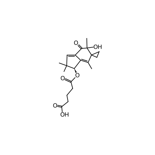 CC1=C2C(=CC(C)(C)[C@@H]2OC(=O)CCCC(=O)O)C(=O)C(C)(O)C12CC2